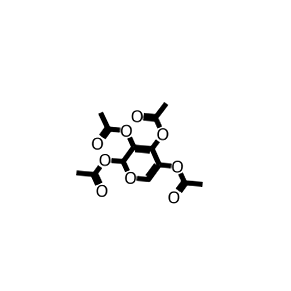 CC(=O)OC1=COC(OC(C)=O)C(OC(C)=O)=C1OC(C)=O